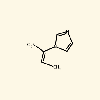 C/C=C(\n1ccnc1)[N+](=O)[O-]